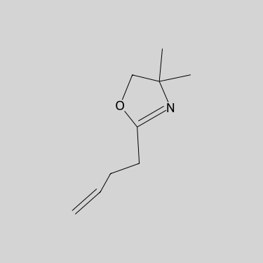 C=CCCC1=NC(C)(C)CO1